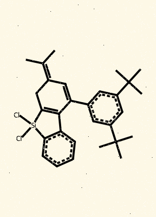 CC(C)=C1C=C(c2cc(C(C)(C)C)cc(C(C)(C)C)c2)C2=C(C1)[Si](Cl)(Cl)c1ccccc12